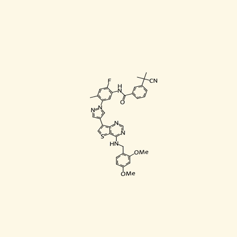 COc1ccc(CNc2ncnc3c(-c4cnn(-c5cc(NC(=O)c6cccc(C(C)(C)C#N)c6)c(F)cc5C)c4)csc23)c(OC)c1